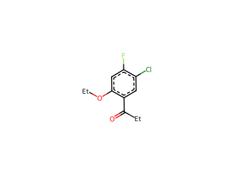 CCOc1cc(F)c(Cl)cc1C(=O)CC